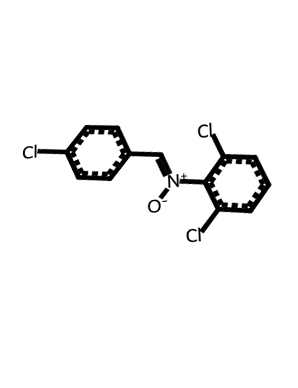 [O-][N+](=Cc1ccc(Cl)cc1)c1c(Cl)cccc1Cl